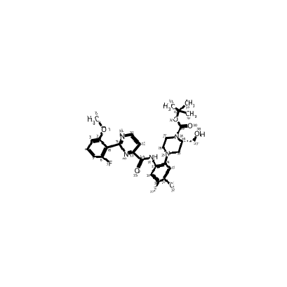 COc1cccc(F)c1-c1nccc(C(=O)Nc2cc(F)c(Cl)cc2N2CCN(C(=O)OC(C)(C)C)[C@H](CO)C2)n1